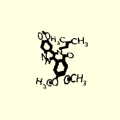 COc1cc2c(=O)n(CCC(C)C)c3c4cc5c(cc4nnc3c2cc1OC)OCO5